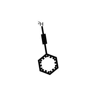 [2H]C#Cc1ccccc1